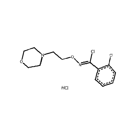 Cl.ClC(=NOCCN1CCOCC1)c1ccccc1Cl